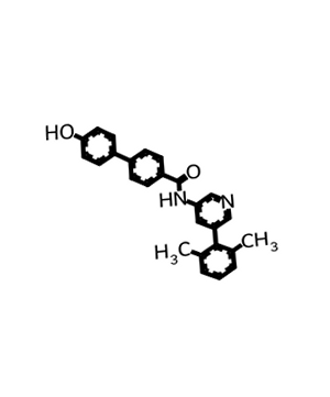 Cc1cccc(C)c1-c1cncc(NC(=O)c2ccc(-c3ccc(O)cc3)cc2)c1